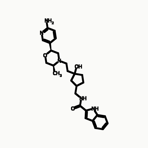 C[C@H]1CO[C@@H](c2ccc(N)nc2)CN1CCC1(O)CCC(CNC(=O)c2cc3ccccc3[nH]2)C1